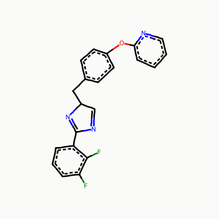 Fc1cccc(C2=NC(Cc3ccc(Oc4ccccn4)cc3)C=N2)c1F